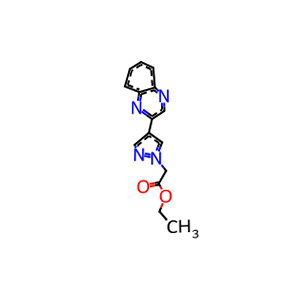 CCOC(=O)Cn1cc(-c2cnc3ccccc3n2)cn1